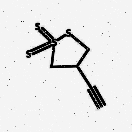 C#CC1CSS(=S)(=S)C1